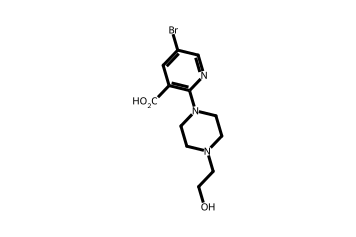 O=C(O)c1cc(Br)cnc1N1CCN(CCO)CC1